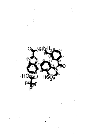 NC(=O)c1nc2ccccc2s1.NCc1cccc(C(=O)N(CC(=O)O)c2ccccc2C(F)(F)F)c1.O=C(O)C(F)(F)F